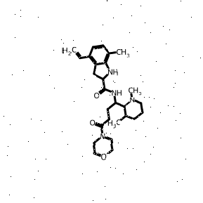 C=Cc1ccc(C)c2c1CC(C(=O)NC(CCC(=O)N1CCOCC1)C1C(C)CCCN1C)N2